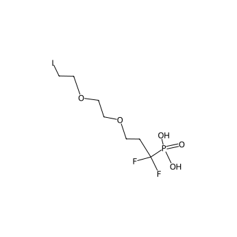 O=P(O)(O)C(F)(F)CCOCCOCCI